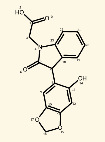 O=C(O)CN1C(=O)C(c2cc3c(cc2O)OCO3)c2ccccc21